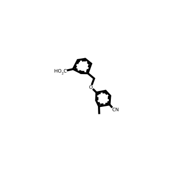 Cc1cc(OCc2cccc(C(=O)O)c2)ccc1C#N